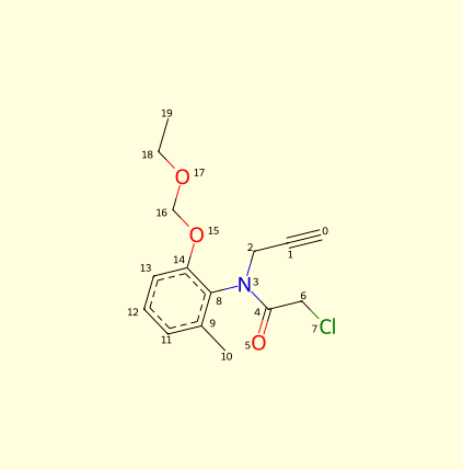 C#CCN(C(=O)CCl)c1c(C)cccc1OCOCC